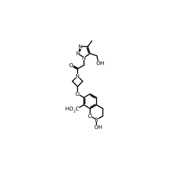 Cc1nnn(CC(=O)N2CC(Oc3ccc4c(c3C(=O)O)OB(O)CC4)C2)c1CO